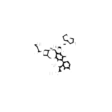 CN1c2nc(OC[C@@]34CCCN3C[C@H](F)C4)nc3c(F)c(-c4ccc(F)c5sc(N)c(C#N)c45)c(Cl)c(c23)OCC2CN(C(=O)C3CN3)CC21